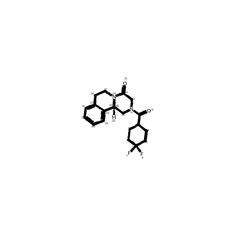 O=C(C1CCC(F)(F)CC1)N1CC(=O)N2CCc3ccccc3[C@H]2C1